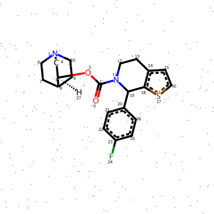 O=C(O[C@@H]1CN2CCC1CC2)N1CCc2ccsc2C1c1ccc(F)cc1